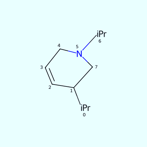 CC(C)C1C=CCN(C(C)C)C1